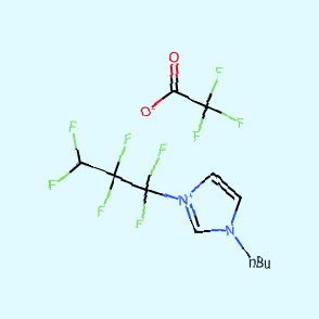 CCCCn1cc[n+](C(F)(F)C(F)(F)C(F)F)c1.O=C([O-])C(F)(F)F